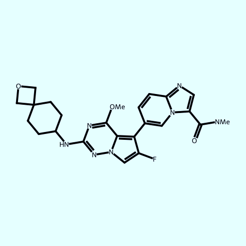 CNC(=O)c1cnc2ccc(-c3c(F)cn4nc(NC5CCC6(CC5)COC6)nc(OC)c34)cn12